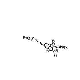 CCCCCCC(Br)=C(O)[C@H]1[C@@H]2CCC(C=CCCC(=O)OCC)=C[C@@H]2C[C@H]1O